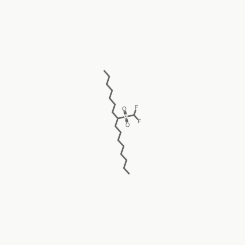 CCCCCCCCC(CCCCCCC)S(=O)(=O)C(F)F